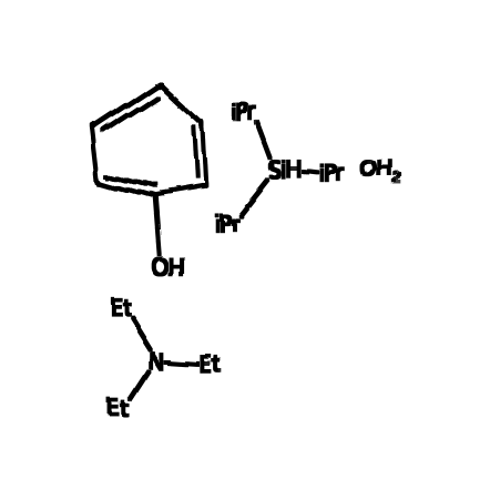 CC(C)[SiH](C(C)C)C(C)C.CCN(CC)CC.O.Oc1ccccc1